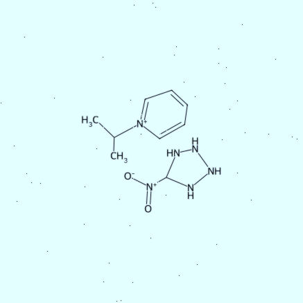 CC(C)[n+]1ccccc1.O=[N+]([O-])C1NNNN1